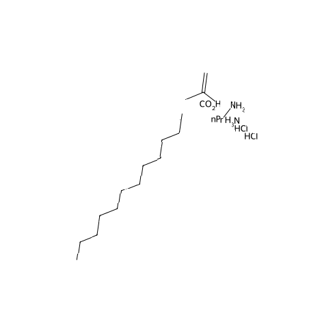 C=C(C)C(=O)O.CCCCCCCCCCCC.CCCN.Cl.Cl.N